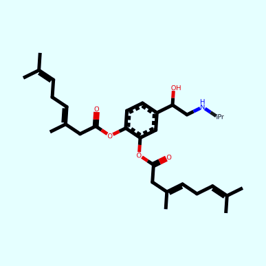 CC(C)=CCC=C(C)CC(=O)Oc1ccc(C(O)CNC(C)C)cc1OC(=O)CC(C)=CCC=C(C)C